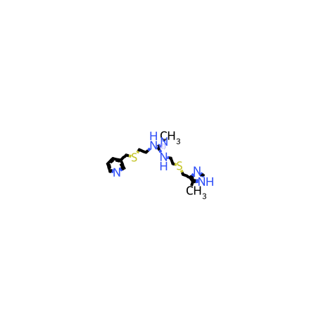 C/N=C(\NCCSCc1cccnc1)NCCSCc1nc[nH]c1C